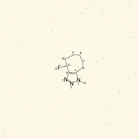 Cn1nnc2c1CCCCCC2F